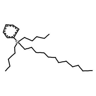 CCCCCCCCCCCC[Si](CCCCC)(CCCCC)c1ccccc1